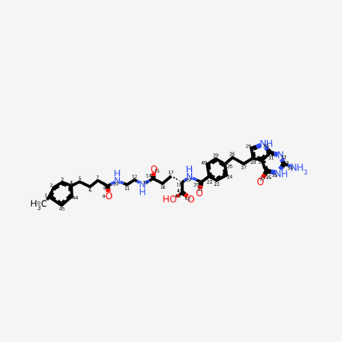 Cc1ccc(CCCC(=O)NCCNC(=O)CC[C@H](NC(=O)c2ccc(CCc3c[nH]c4nc(N)[nH]c(=O)c34)cc2)C(=O)O)cc1